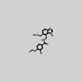 COCc1ccc2ncn(C)c2c1CNC(=O)c1ccc(OCF)c(Cl)c1